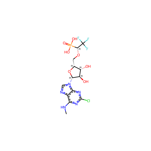 CNc1nc(Cl)nc2c1ncn2[C@@H]1O[C@H](CO[C@@H](C(F)(F)F)P(=O)(O)O)[C@H](O)[C@H]1O